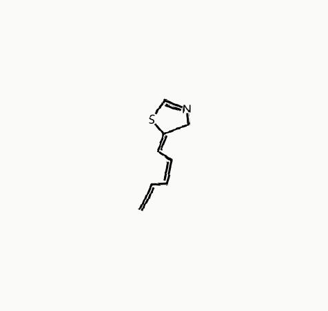 C=C/C=C\C=C1/CN=CS1